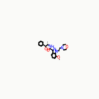 COc1cccc2c(C(=O)N[C@@H](C)[C@@H](O)c3ccccc3)nn(CCN3CCOCC3)c12